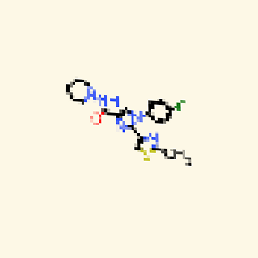 Cc1nc(-c2nc(C(=O)NN3CCCCC3)cn2-c2ccc(Cl)cc2)cs1